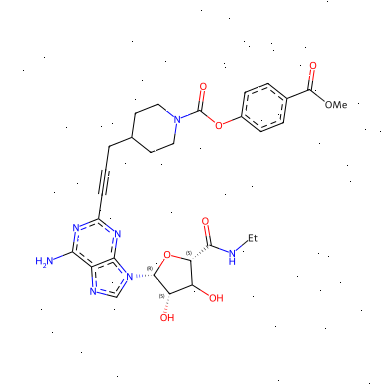 CCNC(=O)[C@H]1O[C@@H](n2cnc3c(N)nc(C#CCC4CCN(C(=O)Oc5ccc(C(=O)OC)cc5)CC4)nc32)[C@@H](O)C1O